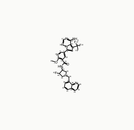 COc1ncc(-c2cc(C(F)(F)F)c3c(N)ncnn23)cc1C(=O)NC1CN(Cc2cccc3cccnc23)CC1F